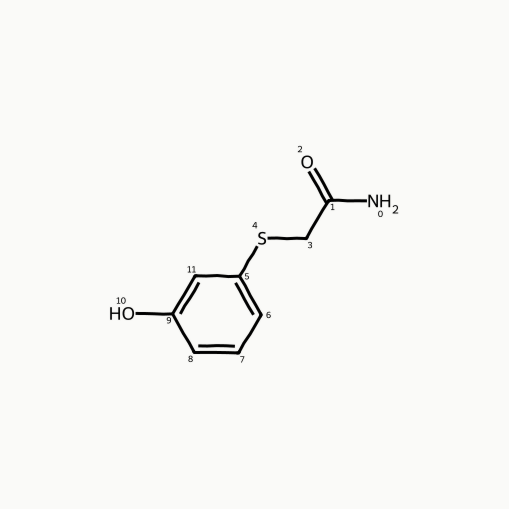 NC(=O)CSc1cccc(O)c1